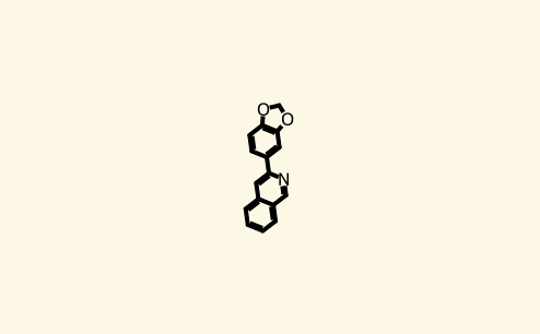 c1ccc2cc(-c3ccc4c(c3)OCO4)ncc2c1